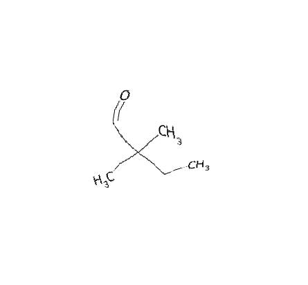 CCC(C)(C)C=O